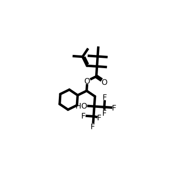 CC(C)=CC(C)(C(=O)OC(CC(O)(C(F)(F)F)C(F)(F)F)C1CCCCC1)C(C)(C)C